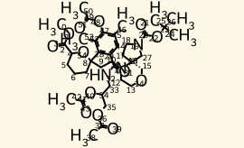 COC(=O)C1CCCC(CCN2CCOC[C@@]23CCN(C(=O)OC(C)(C)C)C3)(c2c(C(=O)NCC(COC(C)=O)OC(C)=O)cc(C)c(OC(C)=O)c2C)O1